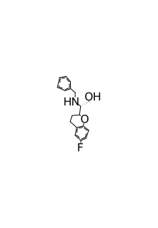 OC[C@@H](NCc1ccccc1)C1CCc2cc(F)ccc2O1